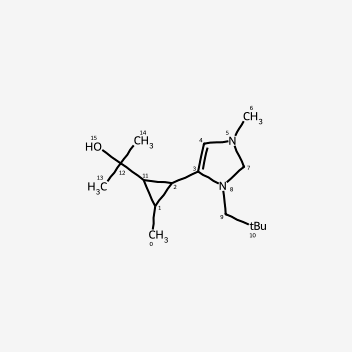 CC1C(C2=CN(C)CN2CC(C)(C)C)C1C(C)(C)O